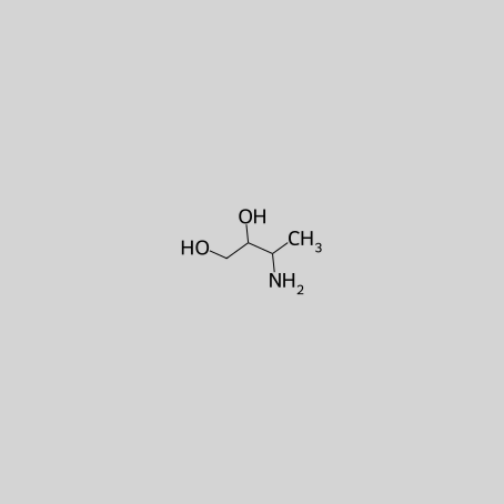 CC(N)C(O)CO